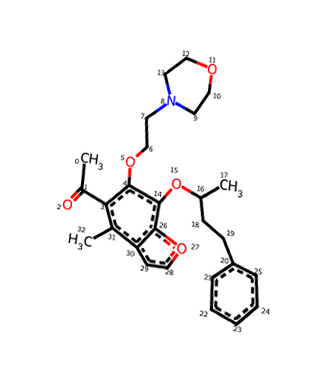 CC(=O)c1c(OCCN2CCOCC2)c(OC(C)CCc2ccccc2)c2occc2c1C